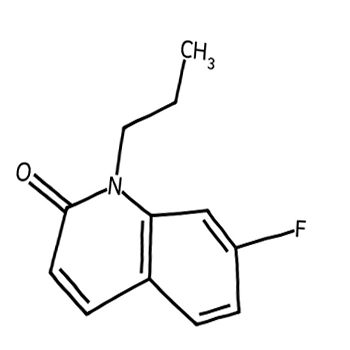 CCCn1c(=O)ccc2ccc(F)cc21